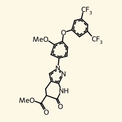 COC(=O)C1Cc2cn(-c3ccc(Oc4cc(C(F)(F)F)cc(C(F)(F)F)c4)c(OC)c3)nc2NC1=O